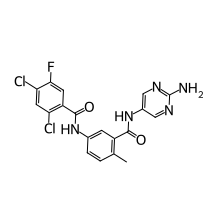 Cc1ccc(NC(=O)c2cc(F)c(Cl)cc2Cl)cc1C(=O)Nc1cnc(N)nc1